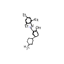 CCc1cc(CC)c(/N=C/c2cc(C3CCC(C)CC3)ccc2O)c(CC)c1